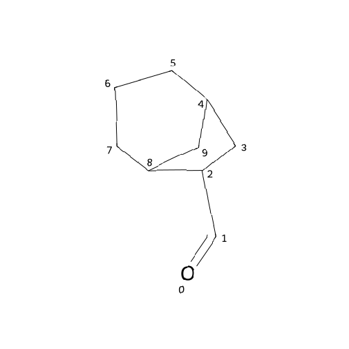 O=CC1CC2CCCC1C2